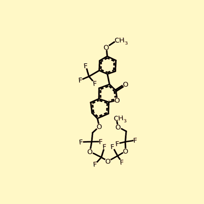 COCC(F)(F)OC(F)(F)OC(F)(F)OC(F)(F)COc1ccc2cc(-c3ccc(OC)cc3C(F)(F)F)c(=O)oc2c1